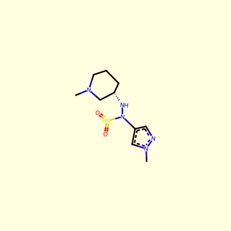 CN1CCC[C@H](NN(c2cnn(C)c2)[SH](=O)=O)C1